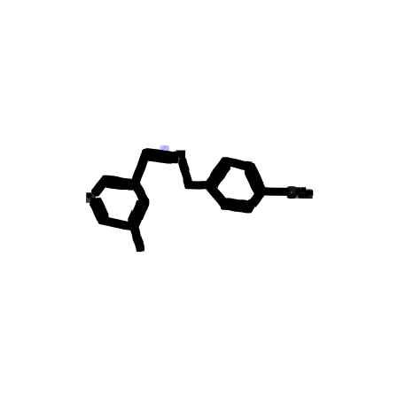 COc1ccc(C/N=C\c2cncc(C)c2)cc1